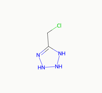 ClCC1=NNNN1